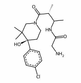 CC(NC(=O)CN)[C@@H](C)C(=O)N1CC[C@](O)(c2ccc(Cl)cc2)C(C)(C)C1